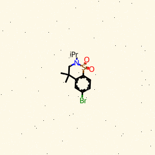 CC(C)N1CC(C)(C)c2cc(Br)ccc2S1(=O)=O